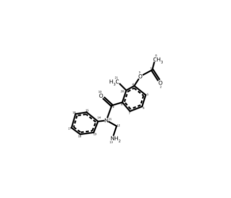 CC(=O)Oc1cccc(C(=O)N(CN)c2ccccc2)c1C